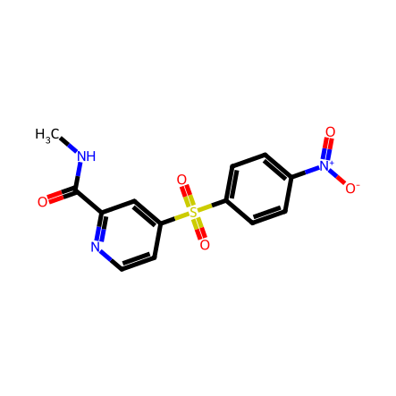 CNC(=O)c1cc(S(=O)(=O)c2ccc([N+](=O)[O-])cc2)ccn1